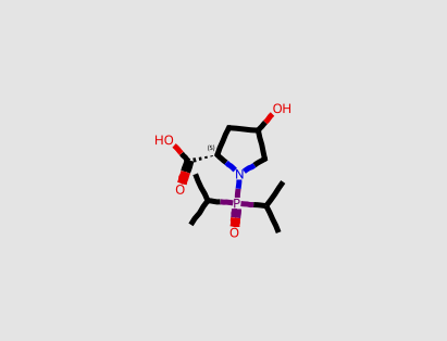 CC(C)P(=O)(C(C)C)N1CC(O)C[C@H]1C(=O)O